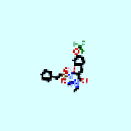 CCN(CC)C(=O)C(Cc1ccc(OC(F)(F)F)cc1)C(=O)NS(=O)(=O)/C=C/c1ccccc1